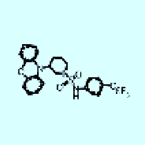 O=S(=O)(Nc1ccc(OC(F)(F)F)cc1)N1CCCC(N2c3ccccc3Oc3ccccc32)C1